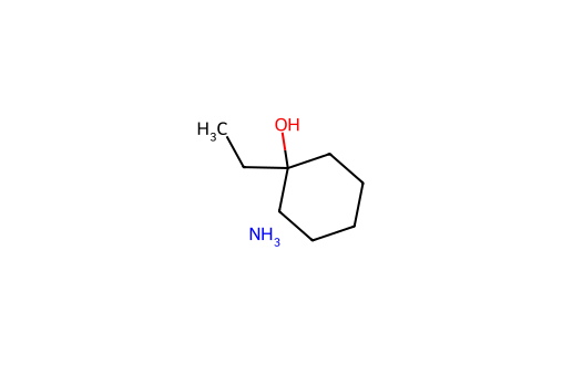 CCC1(O)CCCCC1.N